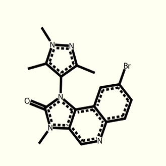 Cc1nn(C)c(C)c1-n1c(=O)n(C)c2cnc3ccc(Br)cc3c21